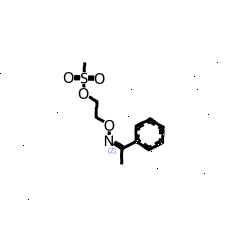 C/C(=N/OCCOS(C)(=O)=O)c1ccccc1